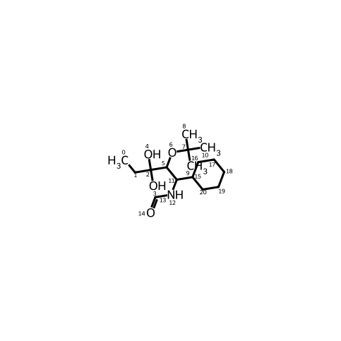 CCC(O)(O)C(OC(C)(C)C)C(NC=O)C1CCCCC1